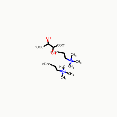 CCCCCCCCCCCC[N+](C)(C)C.CCCCCCCCCCCC[N+](C)(C)C.O=C([O-])C(O)C(O)C(=O)[O-]